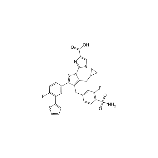 NS(=O)(=O)c1ccc(Cc2c(-c3ccc(F)c(-c4cccs4)c3)nn(-c3nc(C(=O)O)cs3)c2CC2CC2)cc1F